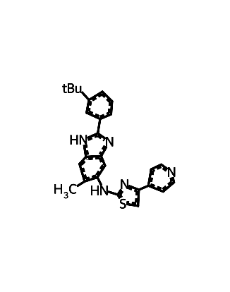 Cc1cc2[nH]c(-c3cccc(C(C)(C)C)c3)nc2cc1Nc1nc(-c2ccncc2)cs1